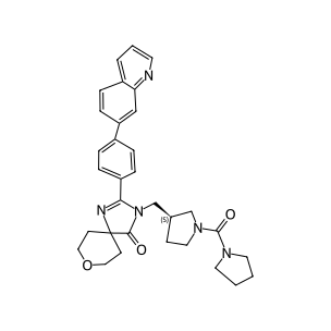 O=C(N1CCCC1)N1CC[C@@H](CN2C(=O)C3(CCOCC3)N=C2c2ccc(-c3ccc4cccnc4c3)cc2)C1